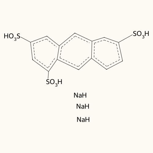 O=S(=O)(O)c1ccc2cc3c(S(=O)(=O)O)cc(S(=O)(=O)O)cc3cc2c1.[NaH].[NaH].[NaH]